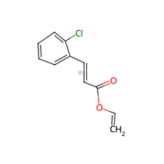 C=COC(=O)/C=C/c1ccccc1Cl